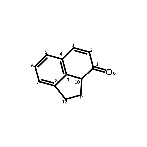 O=C1C=Cc2cccc3c2C1CC3